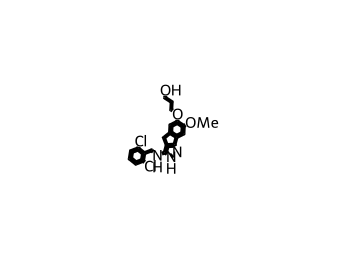 COc1cc2c(cc1OCCCO)Cc1c-2n[nH]c1NCc1c(Cl)cccc1Cl